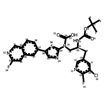 CC(C)(C)OC(=O)N[C@@H](Cc1cnc(F)c(Cl)c1)CN(C(=O)O)c1ncc(-c2ccc3cnc(F)cc3c2)s1